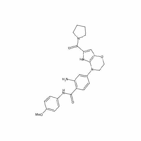 COc1ccc(NC(=O)c2ccc(N3CCOc4cc(C(=O)N5CCCC5)[nH]c43)cc2N)cc1